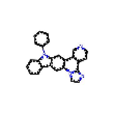 c1ccc(-n2c3ccccc3c3cc4c(cc32)c2cnccc2c2nccn42)cc1